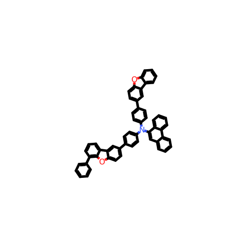 c1ccc(-c2cccc3c2oc2ccc(-c4ccc(N(c5ccc(-c6ccc7oc8ccccc8c7c6)cc5)c5cc6ccccc6c6ccccc56)cc4)cc23)cc1